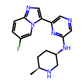 C[C@H]1CC[C@@H](Nc2cncc(-c3cnc4ccc(F)cn34)n2)CN1